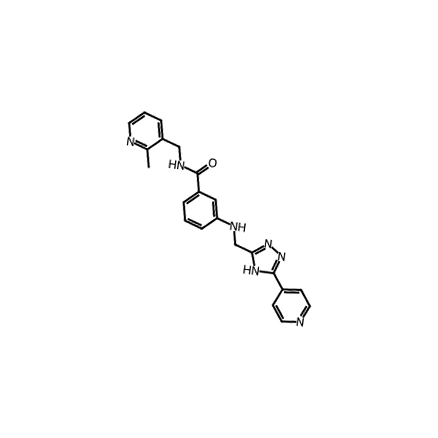 Cc1ncccc1CNC(=O)c1cccc(NCc2nnc(-c3ccncc3)[nH]2)c1